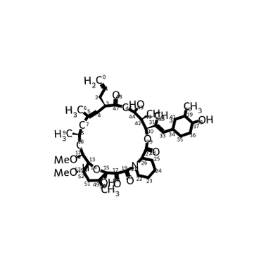 C=CC[C@@H]1/C=C(\C)C[C@H](C)C[C@H](OC)[C@H]2OC(O)(C(=O)C(=O)N3CCCCC3C(=O)O[C@H](/C(C)=C/C3CCC(O)C(C)C3)[C@H](C)C(O)CC1=O)C(C)C[C@@H]2OC